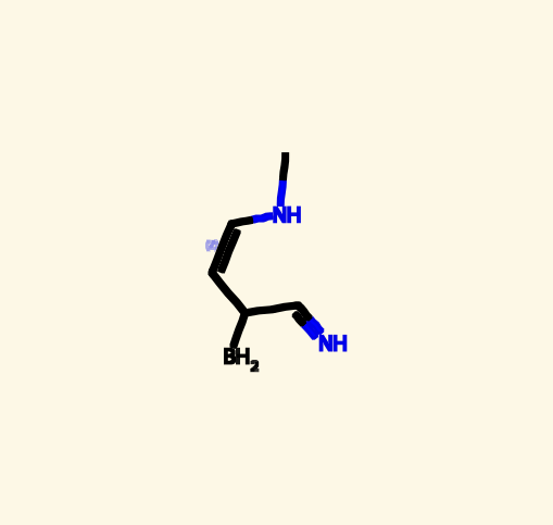 BC(C=N)/C=C\NC